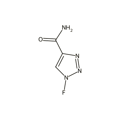 NC(=O)c1cn(F)nn1